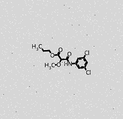 CCCOC(=O)C(OC)C(=O)Nc1cc(Cl)cc(Cl)c1